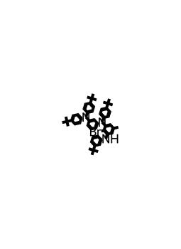 Cc1cc(Nc2cccc(C(C)(C)C)c2)c(Br)c(N(c2ccc(C(C)(C)C)cc2)c2cccc(N(c3ccc(C(C)(C)C)cc3)c3ccc(C(C)(C)C)cc3)c2)c1